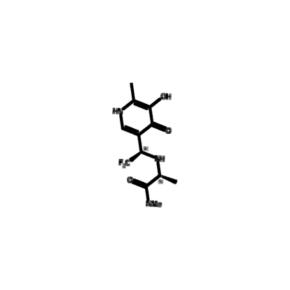 CNC(=O)[C@H](C)N[C@H](c1c[nH]c(C)c(O)c1=O)C(F)(F)F